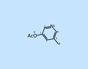 CC(=O)Oc1cncc(C)c1